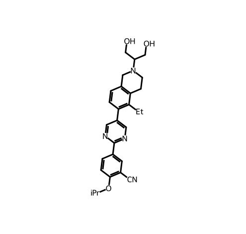 CCc1c(-c2cnc(-c3ccc(OC(C)C)c(C#N)c3)nc2)ccc2c1CCN(C(CO)CO)C2